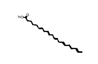 CC=CCCC=CCC=CCC=CCC=CCCCCC(=O)O